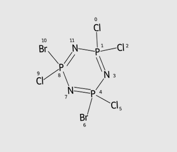 ClP1(Cl)=NP(Cl)(Br)=NP(Cl)(Br)=N1